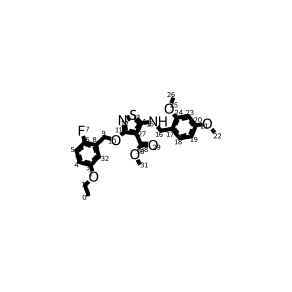 CCOc1ccc(F)c(COc2nsc(NCc3ccc(OC)cc3OC)c2C(=O)OC)c1